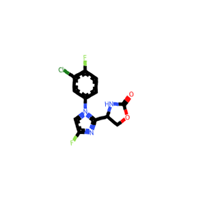 O=C1NC(c2nc(F)cn2-c2ccc(F)c(Cl)c2)CO1